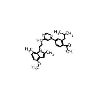 COc1ccc(C)c2c1cc(C)n2CCNc1cc(-c2ccc(C(=O)O)c(CC(C)C)c2)ncn1